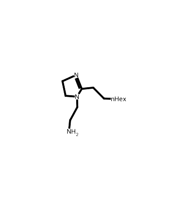 CCCCCCCCC1=NCCN1CCN